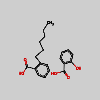 CCCCCCc1ccccc1C(=O)O.O=C(O)c1ccccc1O